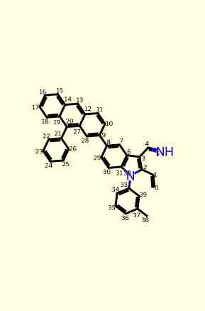 C=Cc1c(C=N)c2cc(-c3ccc4cc5ccccc5c(-c5ccccc5)c4c3)ccc2n1-c1cccc(C)c1